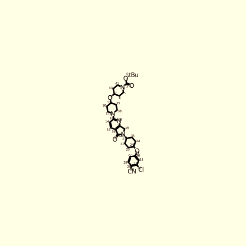 CC(C)(C)OC(=O)N1CCC(OC2CCN(c3ccc4c(n3)CN(C3CCC(Oc5ccc(C#N)c(Cl)c5)CC3)C4=O)CC2)CC1